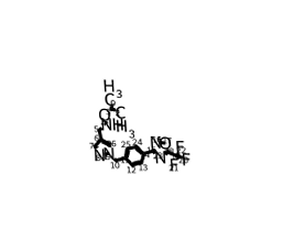 CC(C)ONCc1cnn(Cc2ccc(-c3noc(C(F)(F)F)n3)cc2)c1